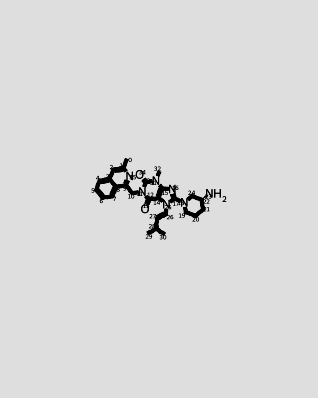 Cc1cc2ccccc2c(Cn2c(=O)c3c(nc(N4CCC[C@@H](N)C4)n3C=CC(C)C)n(C)c2=O)n1